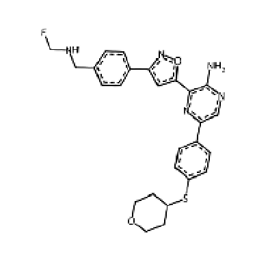 Nc1ncc(-c2ccc(SC3CCOCC3)cc2)nc1-c1cc(-c2ccc(CNCF)cc2)no1